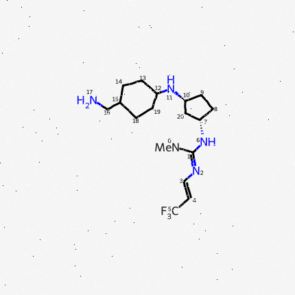 CN/C(=N\C=C\C(F)(F)F)N[C@H]1CC[C@H](NC2CCC(CN)CC2)C1